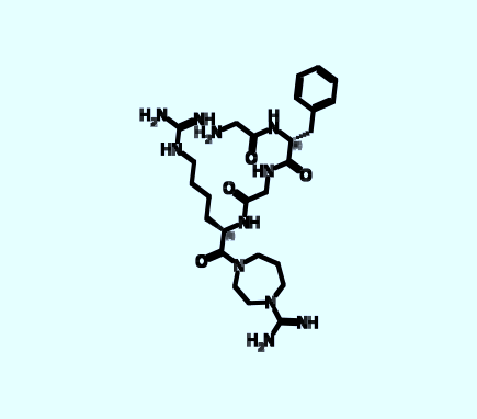 N=C(N)NCCCC[C@@H](NC(=O)CNC(=O)[C@@H](Cc1ccccc1)NC(=O)CN)C(=O)N1CCCN(C(=N)N)CC1